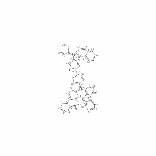 CC1(C)c2ccccc2-c2ccc(N(c3ccc(-c4ccc5c(c4)c4c6ccccc6ccc4n5-c4ccccc4)cc3)c3cccc4c3sc3ccccc34)cc21